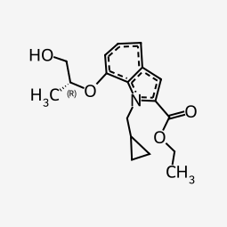 CCOC(=O)c1cc2cccc(O[C@H](C)CO)c2n1CC1CC1